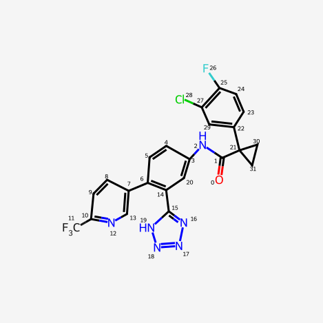 O=C(Nc1ccc(-c2ccc(C(F)(F)F)nc2)c(-c2nnn[nH]2)c1)C1(c2ccc(F)c(Cl)c2)CC1